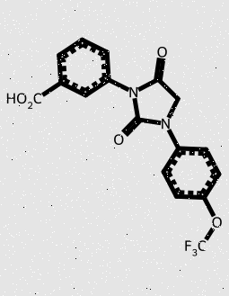 O=C(O)c1cccc(N2C(=O)CN(c3ccc(OC(F)(F)F)cc3)C2=O)c1